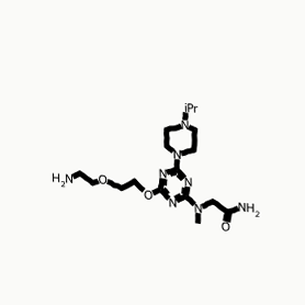 CC(C)N1CCN(c2nc(OCCOCCN)nc(N(C)CC(N)=O)n2)CC1